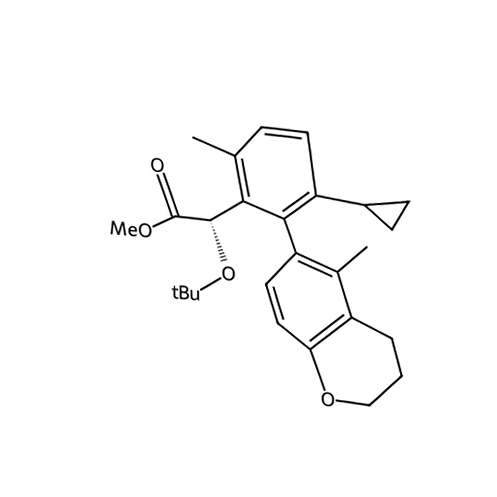 COC(=O)[C@@H](OC(C)(C)C)c1c(C)ccc(C2CC2)c1-c1ccc2c(c1C)CCCO2